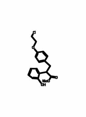 COC(=O)C(Cc1ccc(OCCCl)cc1)c1ccccc1O